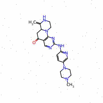 C=C1NCCN2c3nc(Nc4ccc(N5CCN(C)CC5)cn4)ncc3C(=O)CC12